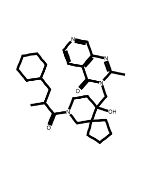 Cc1nc2cnccc2c(=O)n1CC1(O)CCN(C(=O)C(C)CC2CCCCC2)CC12CCCC2